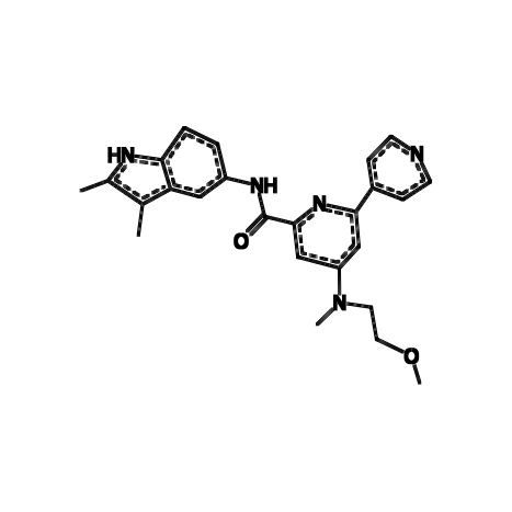 COCCN(C)c1cc(C(=O)Nc2ccc3[nH]c(C)c(C)c3c2)nc(-c2ccncc2)c1